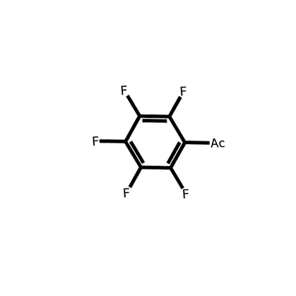 [CH2]C(=O)c1c(F)c(F)c(F)c(F)c1F